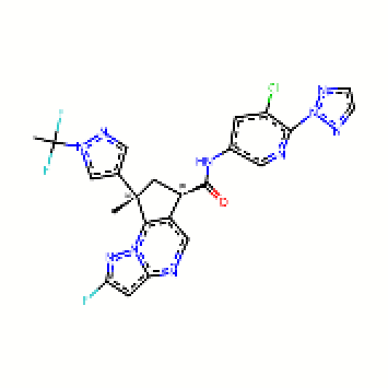 CC(F)(F)n1cc([C@]2(C)C[C@@H](C(=O)Nc3cnc(-n4nccn4)c(Cl)c3)c3cnc4cc(F)nn4c32)cn1